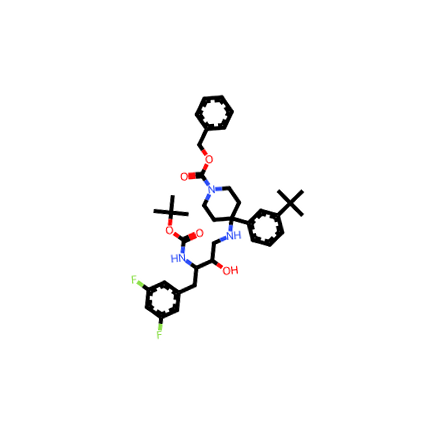 CC(C)(C)OC(=O)NC(Cc1cc(F)cc(F)c1)C(O)CNC1(c2cccc(C(C)(C)C)c2)CCN(C(=O)OCc2ccccc2)CC1